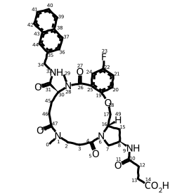 CN1CCC(=O)N2C[C@H](NC(=O)CCC(=O)O)C[C@H]2COc2ccc(F)cc2C(=O)N(C)[C@H](C(=O)NCc2ccc3ccccc3c2)CCC1=O